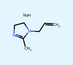 C=CCN1CCN=C1C.[NaH]